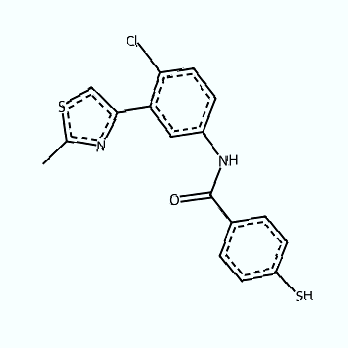 Cc1nc(-c2cc(NC(=O)c3ccc(S)cc3)ccc2Cl)cs1